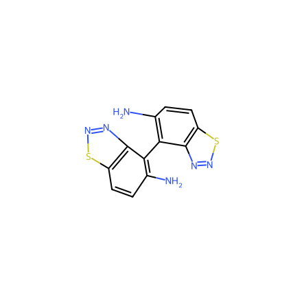 Nc1ccc2snnc2c1-c1c(N)ccc2snnc12